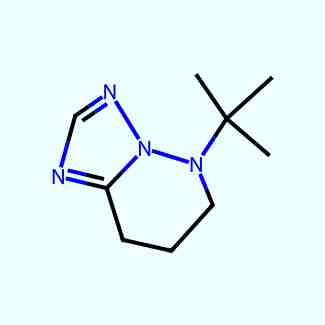 CC(C)(C)N1CCCc2ncnn21